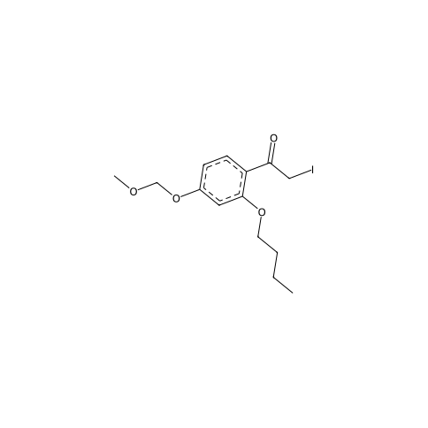 CCCCOc1cc(OCOC)ccc1C(=O)CI